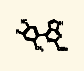 COc1nc(-c2cc(C#N)c(F)cc2C)c2cc[nH]c2n1